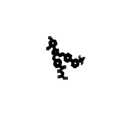 O=C(O)CNC(=O)c1ccc(Cn2cc(-c3ccc(Cl)cc3Cl)nc2C=Cc2ccc(-c3cccc(C(F)(F)F)c3)cc2)cc1